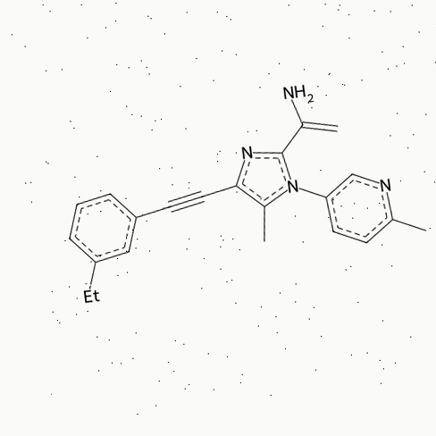 C=C(N)c1nc(C#Cc2cccc(CC)c2)c(C)n1-c1ccc(C)nc1